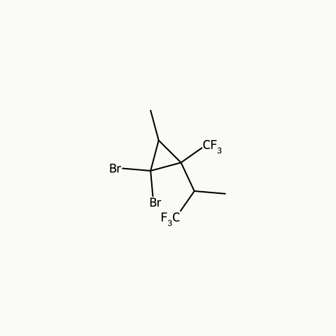 CC(C(F)(F)F)C1(C(F)(F)F)C(C)C1(Br)Br